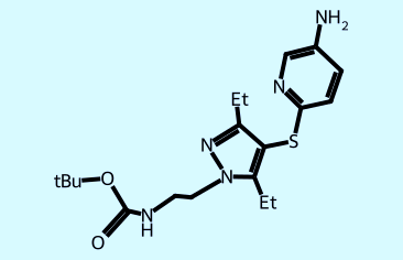 CCc1nn(CCNC(=O)OC(C)(C)C)c(CC)c1Sc1ccc(N)cn1